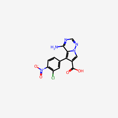 Nc1ncnn2cc(C(=O)O)c(-c3ccc([N+](=O)[O-])c(Cl)c3)c12